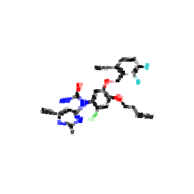 COc1ccc(F)c(F)c1COc1cc(-n2c(=O)[nH]c3c(OC)nc(C)nc32)c(Cl)cc1OCCNC(C)=O